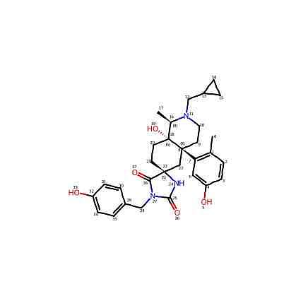 Cc1ccc(O)cc1[C@]12CCN(CC3CC3)[C@H](C)[C@]1(O)CC[C@@]1(C2)NC(=O)N(Cc2ccc(O)cc2)C1=O